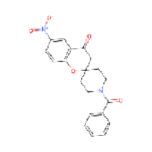 O=C1CC2(CCN(C(=O)c3ccccc3)CC2)Oc2ccc([N+](=O)[O-])cc21